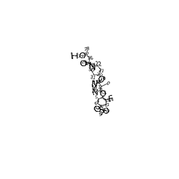 Cc1c(Oc2ccc(S(C)(=O)=O)cc2F)ncnc1OC1CCN(C(=O)CC(C)O)CC1